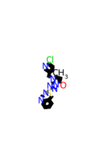 Cc1cc(=O)n2nc(/S(Cc3ccccc3)=N/C#N)nc2n1Cc1ccc(Cl)nc1